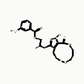 CCn1nc(C[C@@H](C)COC(=O)c2cccc(C(=O)O)c2)c2c1C(=O)NCCCOCCC2